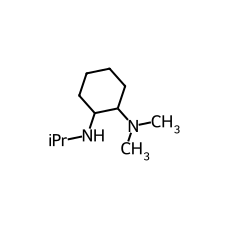 CC(C)NC1CCCCC1N(C)C